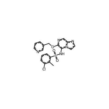 Cc1c(Cl)cccc1S(=O)(=O)Nc1c(OCc2cccnc2)ncc2nccn12